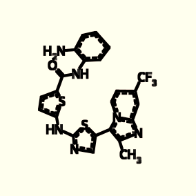 Cc1nc2cc(C(F)(F)F)ccn2c1-c1cnc(Nc2ccc(C(=O)Nc3ccccc3N)s2)s1